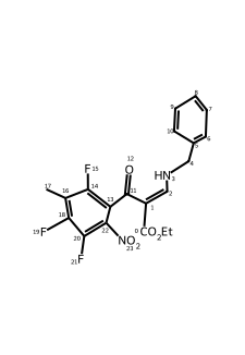 CCOC(=O)/C(=C/NCc1ccccc1)C(=O)c1c(F)c(C)c(F)c(F)c1[N+](=O)[O-]